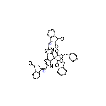 O=C1C(=O)c2ccccc2/C1=C/c1nc2c(s1)-c1sc(/C=C3\CC(=O)c4ccccc43)nc1C2(C(=O)OCc1ccccc1)C(=O)OCc1ccccc1